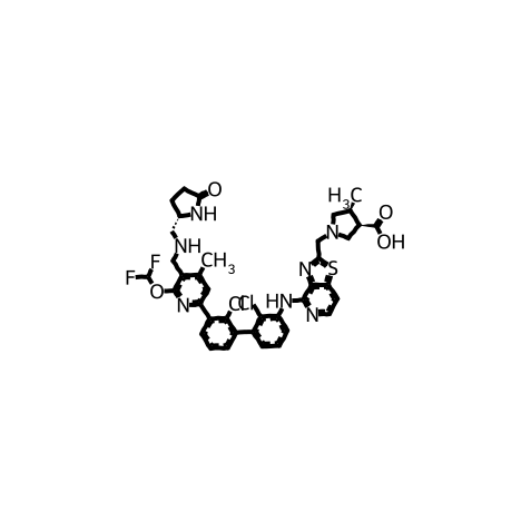 Cc1cc(-c2cccc(-c3cccc(Nc4nccc5sc(CN6C[C@@H](C)[C@@H](C(=O)O)C6)nc45)c3Cl)c2Cl)nc(OC(F)F)c1CNC[C@@H]1CCC(=O)N1